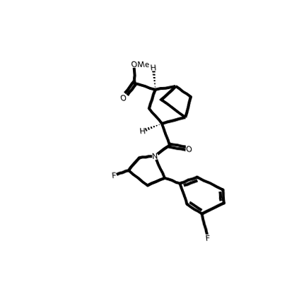 COC(=O)[C@@H]1C[C@H](C(=O)N2CC(F)CC2c2cccc(F)c2)C2CC1C2